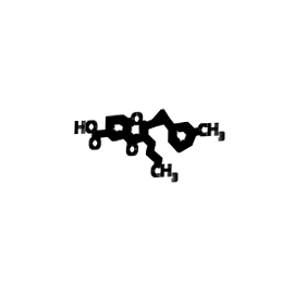 CCCCc1c(C2CC2c2cccc(C)c2)oc2ccc(C(=O)O)cc2c1=O